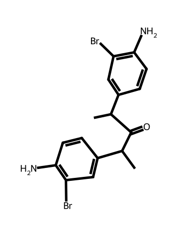 CC(C(=O)C(C)c1ccc(N)c(Br)c1)c1ccc(N)c(Br)c1